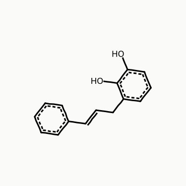 Oc1cccc(CC=Cc2ccccc2)c1O